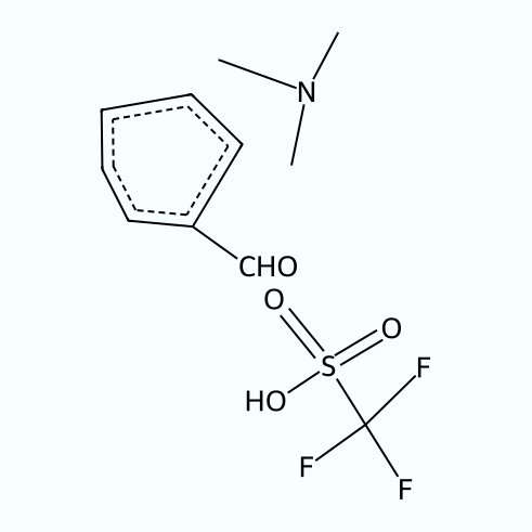 CN(C)C.O=Cc1ccccc1.O=S(=O)(O)C(F)(F)F